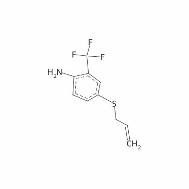 C=CCSc1ccc(N)c(C(F)(F)F)c1